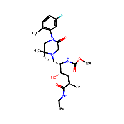 Cc1ccc(F)cc1N1CC(C)(C)N(C[C@H](NC(=O)OC(C)(C)C)[C@@H](O)C[C@H](C(=O)NCC(C)(C)C)C(C)C)CC1=O